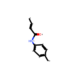 CC=CC(=O)Nc1ccc(C)cc1